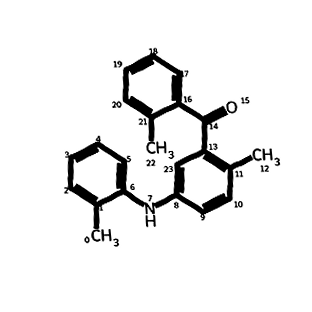 Cc1ccccc1Nc1ccc(C)c(C(=O)c2ccccc2C)c1